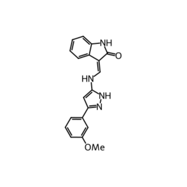 COc1cccc(-c2cc(N/C=C3/C(=O)Nc4ccccc43)[nH]n2)c1